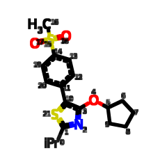 CC(C)c1nc(OC2CCCC2)c(-c2ccc(S(C)(=O)=O)cc2)s1